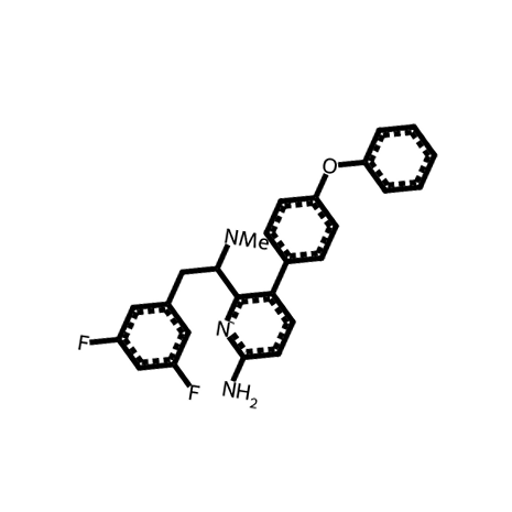 CNC(Cc1cc(F)cc(F)c1)c1nc(N)ccc1-c1ccc(Oc2ccccc2)cc1